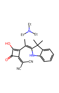 CC(C1=C(O)C(=O)C1=C(C#N)C#N)=C1Nc2ccccc2C1(C)C.CCN(CC)CC